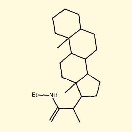 C=C(NCC)C(C)C1CCC2C3CCC4CCCCC4(C)C3CCC12C